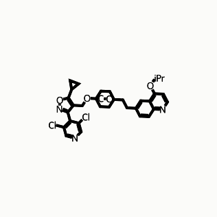 CC(C)Oc1ccnc2ccc(CCC34CCC(OCc5c(-c6c(Cl)cncc6Cl)noc5C5CC5)(CC3)CC4)cc12